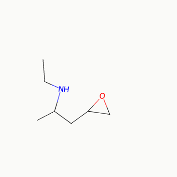 CCNC(C)CC1CO1